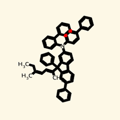 CC/C(C)=C\C=C(/C)C1(c2ccccc2)c2cc(-c3ccccc3)ccc2-c2ccc(N(c3ccc(-c4ccccc4)cc3)c3ccccc3-c3ccccc3)cc21